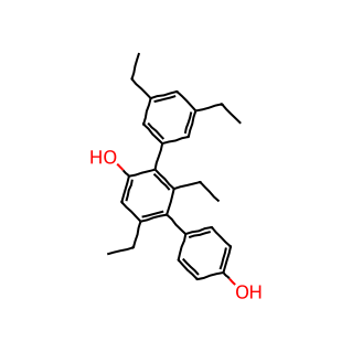 CCc1cc(CC)cc(-c2c(O)cc(CC)c(-c3ccc(O)cc3)c2CC)c1